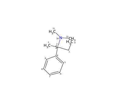 CC[Si](C)(c1ccccc1)N(C)C